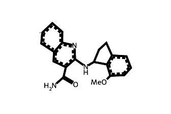 COc1cccc2c1C(Nc1nc3cc[c]cc3cc1C(N)=O)CC2